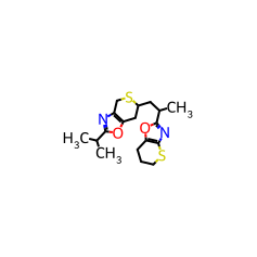 CC(C)c1nc2c(o1)CC(CC(C)c1nc3c(o1)CCCS3)SC2